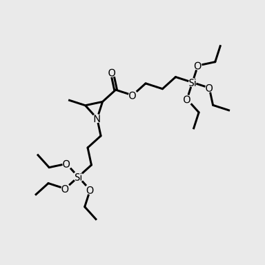 CCO[Si](CCCOC(=O)C1C(C)N1CCC[Si](OCC)(OCC)OCC)(OCC)OCC